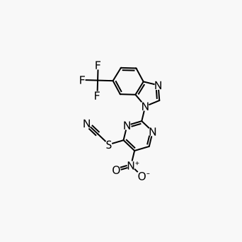 N#CSc1nc(-n2cnc3ccc(C(F)(F)F)cc32)ncc1[N+](=O)[O-]